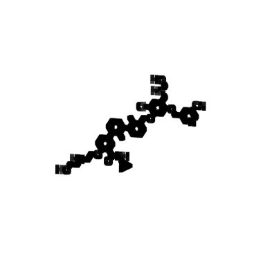 Cc1c(COc2cc(OCc3cncc(C#N)c3)c(CNCO)cc2Cl)cccc1-c1cccc(-c2ccc(OCCNCCO)c(C(=O)NC3CC3)c2)c1C